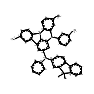 CC(C)(C)c1cccc(N2c3cc(C(C)(C)C)ccc3B3c4ccc(C(C)(C)C)cc4-c4cc(N(c5ccccc5)c5ccc6c(c5)C(C)(C)c5ccccc5-6)cc2c43)c1